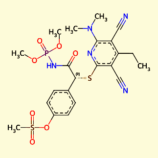 CCc1c(C#N)c(S[C@@H](C(=O)NP(=O)(OC)OC)c2ccc(OS(C)(=O)=O)cc2)nc(N(C)C)c1C#N